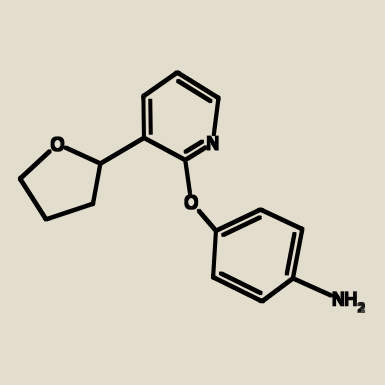 Nc1ccc(Oc2ncccc2C2CCCO2)cc1